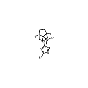 CC(=O)N(C)[C@H]1[C@@H]2CC[C@H]1CN(c1nnc(Br)s1)C2